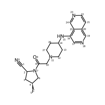 N#CC1C[C@H](F)CN1C(=O)CN1CCC(Nc2cncc3ccncc23)CC1